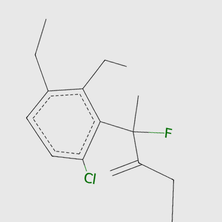 C=C(CC)C(C)(F)c1c(Cl)ccc(CC)c1CC